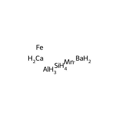 [AlH3].[BaH2].[CaH2].[Fe].[Mn].[SiH4]